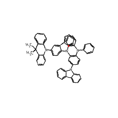 CC1(C)c2ccccc2N(c2ccc3c(c2)c2ccccc2n3-c2cc(-n3c4ccccc4c4ccccc43)ccc2N(c2ccccc2)c2ccccc2)c2ccccc21